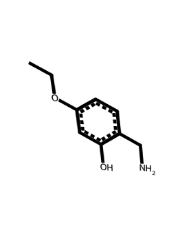 CCOc1ccc(CN)c(O)c1